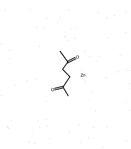 CC(=O)CCC(C)=O.[Zn]